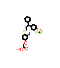 O=C(O)COc1ccc(SC/C=C(/c2ccccc2)c2ccc(OC(F)(F)F)cc2)c(I)c1